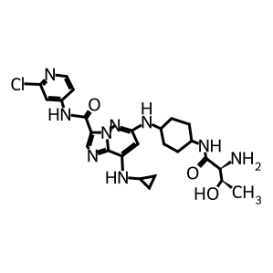 C[C@@H](O)[C@H](N)C(=O)NC1CCC(Nc2cc(NC3CC3)c3ncc(C(=O)Nc4ccnc(Cl)c4)n3n2)CC1